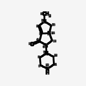 CN1C=C2C(=O)N(N3CCNCC3)CN2C1